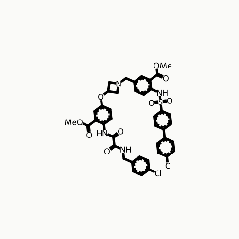 COC(=O)c1cc(OC2CN(Cc3ccc(NS(=O)(=O)c4ccc(-c5ccc(Cl)cc5)cc4)c(C(=O)OC)c3)C2)ccc1NC(=O)C(=O)NCc1ccc(Cl)cc1